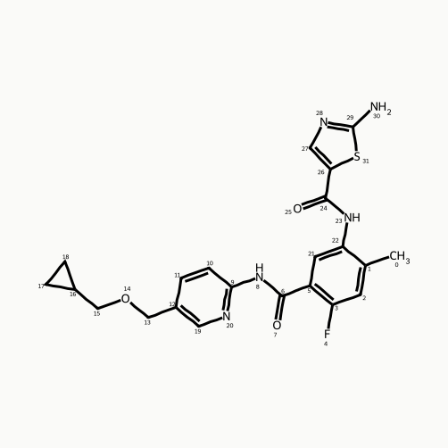 Cc1cc(F)c(C(=O)Nc2ccc(COCC3CC3)cn2)cc1NC(=O)c1cnc(N)s1